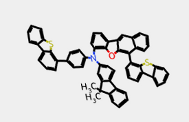 CC1(C)c2ccccc2-c2ccc(N(c3ccc(-c4cccc5c4sc4ccccc45)cc3)c3cccc4c3oc3c(-c5cccc6c5sc5ccccc56)c5ccccc5cc34)cc21